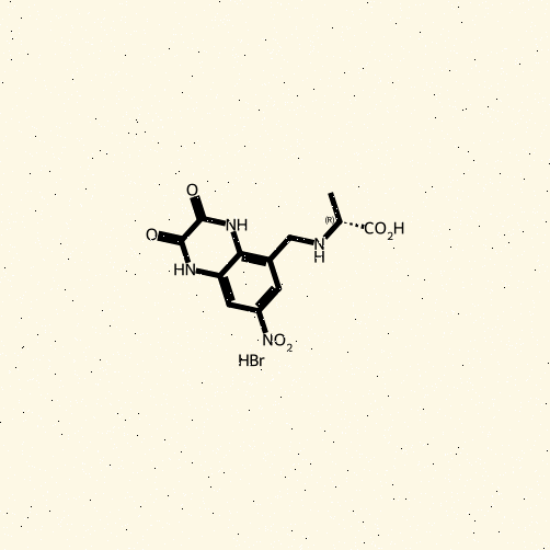 Br.C[C@@H](NCc1cc([N+](=O)[O-])cc2[nH]c(=O)c(=O)[nH]c12)C(=O)O